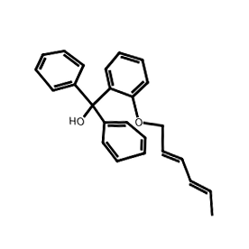 CC=CC=CCOc1ccccc1C(O)(c1ccccc1)c1ccccc1